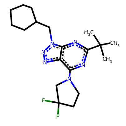 CC(C)(C)c1nc(N2CCC(F)(F)C2)c2nnn(CC3CCCCC3)c2n1